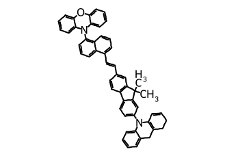 CC1(C)c2cc(/C=C/c3cccc4c(N5c6ccccc6Oc6ccccc65)cccc34)ccc2-c2ccc(N3C4=C(CCC=C4)Cc4ccccc43)cc21